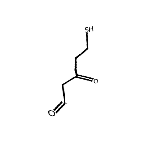 O=[C]CC(=O)CCS